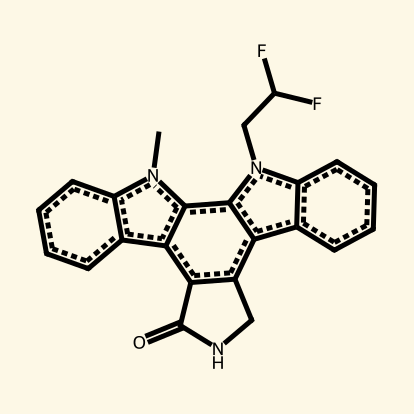 Cn1c2ccccc2c2c3c(c4c5ccccc5n(CC(F)F)c4c21)CNC3=O